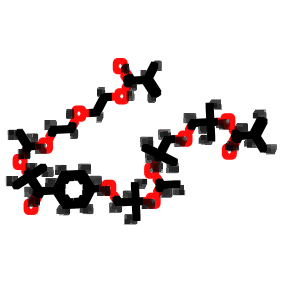 C=C(C)C(=O)OCCOCCOC(C)OC(C)(C)C(=O)c1ccc(OCC(C)(C)OC(C)OC(C)(C)COCC(C)(C)OC(=O)C(=C)C)cc1